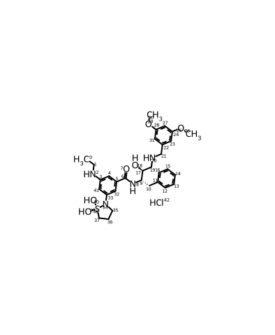 CCNc1cc(C(=O)N[C@@H](Cc2ccccc2)[C@@H](O)CNCc2cc(OC)cc(OC)c2)cc(N2CCCS2(O)O)c1.Cl